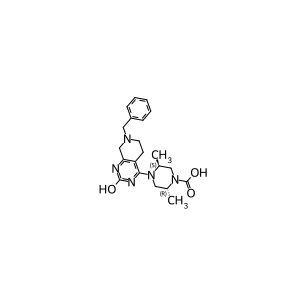 C[C@@H]1CN(c2nc(O)nc3c2CCN(Cc2ccccc2)C3)[C@@H](C)CN1C(=O)O